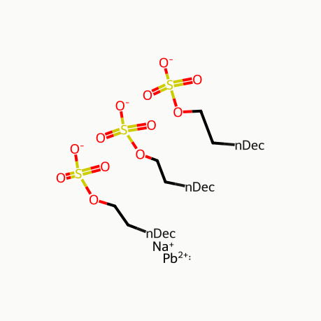 CCCCCCCCCCCCOS(=O)(=O)[O-].CCCCCCCCCCCCOS(=O)(=O)[O-].CCCCCCCCCCCCOS(=O)(=O)[O-].[Na+].[Pb+2]